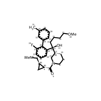 CNC[C@@H]1C[C@H]1C(=O)N1CCC[C@@H]([C@@](O)(CCCCOC)c2cccc(F)c2-c2cccc(C)c2)C1